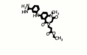 CCOC(=O)CCN1CC(=O)N(C)c2ccc(Nc3cccc(C(=N)N)c3)cc2C1=O